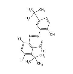 CC(C)(C)c1ccc(O)c(N=Nc2c(Cl)cc(Cl)c(C(C)(C)C)c2[N+](=O)[O-])c1